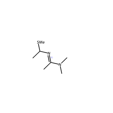 CSC(C)/N=C(\C)N(C)C